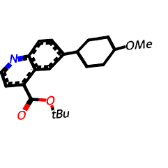 COC1CCC(c2ccc3nccc(C(=O)OC(C)(C)C)c3c2)CC1